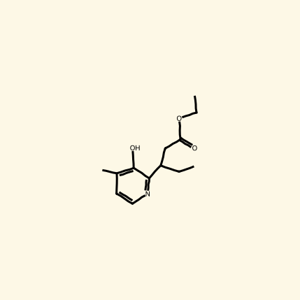 CCOC(=O)CC(CC)c1nccc(C)c1O